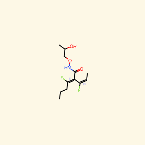 C/C=C(F)\C(C(=O)NOCC(C)O)=C(\F)CCC